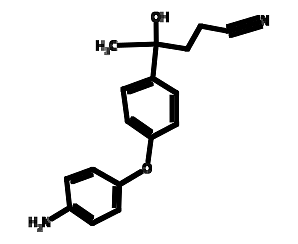 CC(O)(CCC#N)c1ccc(Oc2ccc(N)cc2)cc1